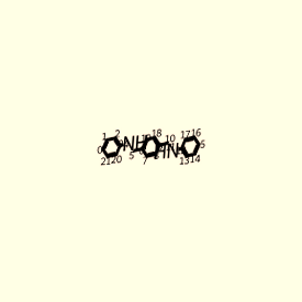 c1ccc(NCc2ccc(CNc3ccccc3)cc2)cc1